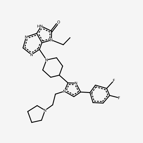 CCn1c(=O)[nH]c2ncnc(N3CCC(c4nc(-c5ccc(F)c(F)c5)cn4CCN4CCCC4)CC3)c21